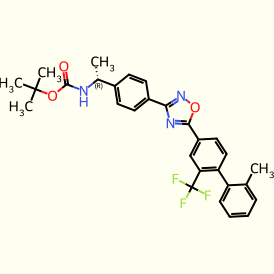 Cc1ccccc1-c1ccc(-c2nc(-c3ccc([C@@H](C)NC(=O)OC(C)(C)C)cc3)no2)cc1C(F)(F)F